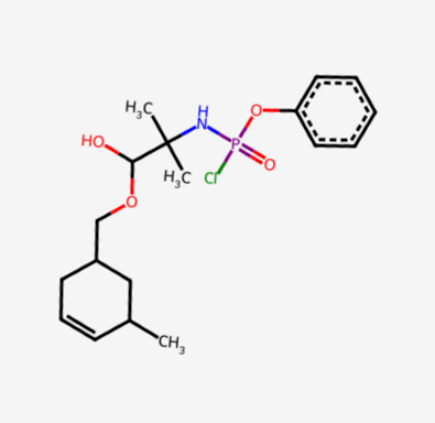 CC1C=CCC(COC(O)C(C)(C)NP(=O)(Cl)Oc2ccccc2)C1